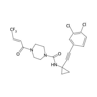 O=C(C=CC(F)(F)F)N1CCN(C(=O)NC2(C#Cc3ccc(Cl)c(Cl)c3)CC2)CC1